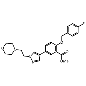 COC(=O)c1cc(-c2cnn(CCN3CCOCC3)c2)ccc1OCc1ccc(F)cc1